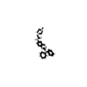 CN1CCN(CC(=O)Nc2ccc3c(c2)COC(N(c2ccccc2)C2CCCCCC2)=N3)CC1